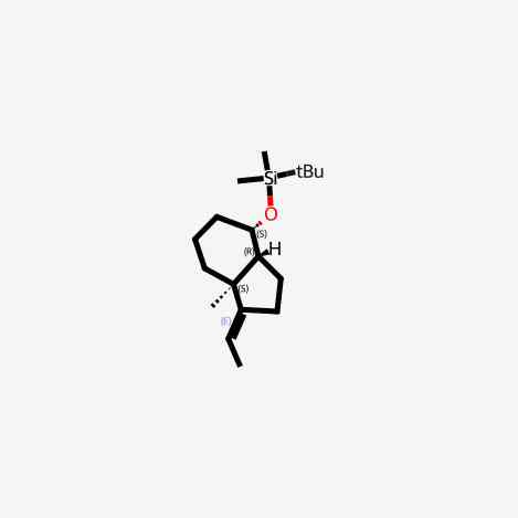 C/C=C1\CC[C@H]2[C@@H](O[Si](C)(C)C(C)(C)C)CCC[C@]12C